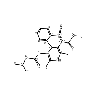 COC(=O)OC1=C(C)NC(C)=C(OC(=O)OC(C)C)C1c1ccccc1[N+](=O)[O-]